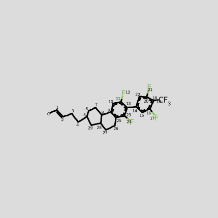 C/C=C/CCC1CCC2c3cc(F)c(-c4cc(F)c(C(F)(F)F)c(F)c4)c(F)c3CCC2C1